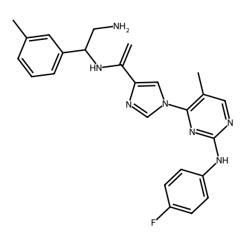 C=C(NC(CN)c1cccc(C)c1)c1cn(-c2nc(Nc3ccc(F)cc3)ncc2C)cn1